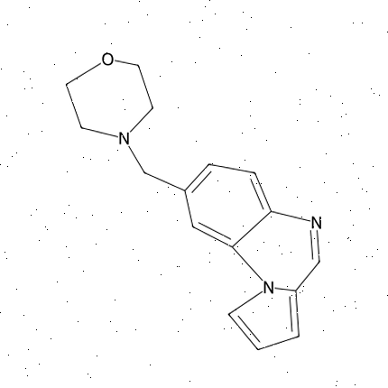 c1cc2cnc3ccc(CN4CCOCC4)cc3n2c1